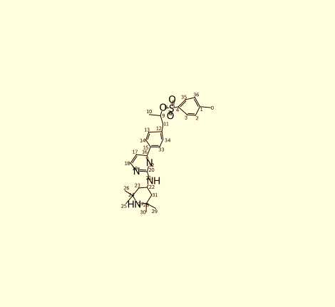 Cc1ccc(S(=O)(=O)OC(C)Cc2ccc(-c3ccnc(NC4CC(C)(C)NC(C)(C)C4)n3)cc2)cc1